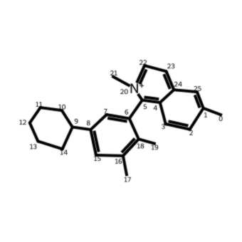 Cc1ccc2c(-c3cc(C4CCCCC4)cc(C)c3C)[n+](C)ccc2c1